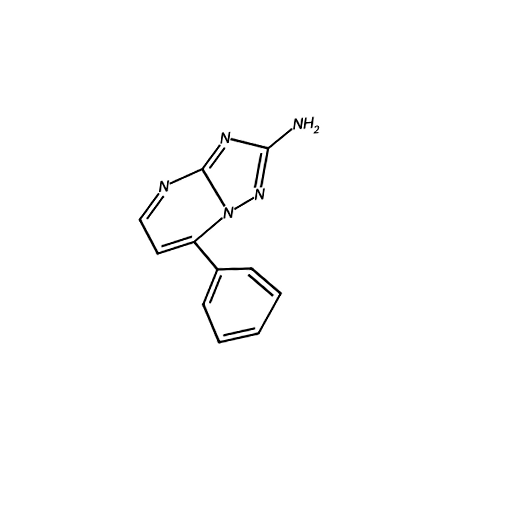 Nc1nc2nccc(-c3ccccc3)n2n1